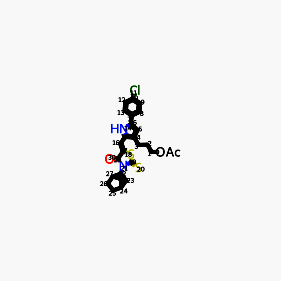 CC(=O)OCCCc1cc(-c2ccc(Cl)cc2)[nH]c1/C=C1\SC(=S)N(C2CC3CCC2C3)C1=O